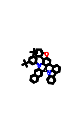 CC(C)(C)c1cc(N2c3cc4ccccc4cc3B3c4c(cc5oc6ccccc6c5c42)-c2cccc4c5ccccc5n3c24)cc(C(C)(C)C)c1